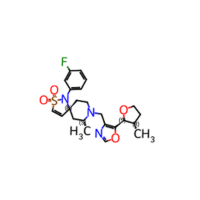 C[C@@H]1CCO[C@@H]1c1ocnc1CN1CC[C@]2(C=CS(=O)(=O)N2c2cccc(F)c2)C[C@@H]1C